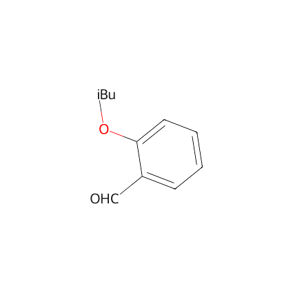 CCC(C)Oc1ccccc1C=O